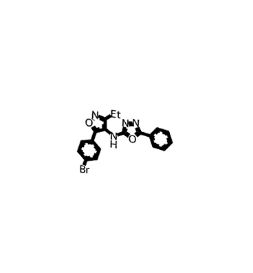 CCc1noc(-c2ccc(Br)cc2)c1Nc1nnc(-c2ccccc2)o1